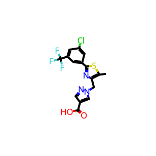 Cc1sc(-c2cc(Cl)cc(C(F)(F)F)c2)nc1Cn1cc(C(=O)O)cn1